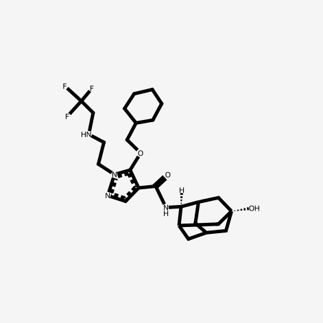 O=C(N[C@H]1C2CC3CC1C[C@](O)(C3)C2)c1cnn(CCNCC(F)(F)F)c1OCC1CCCCC1